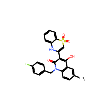 Cc1ccc2c(c1)c(O)c(C1=CS(=O)(=O)c3ccccc3N1)c(=O)n2Cc1ccc(F)cc1